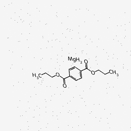 CCCOC(=O)c1ccc(C(=O)OCCC)cc1.[MgH2]